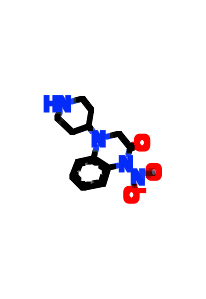 O=C1CN(C2CCNCC2)c2ccccc2N1[N+](=O)[O-]